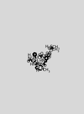 CN1CC[C@H]2CC[C@@H](C(=O)N[C@@H](CCC(N)=O)C(=O)NCc3ccccc3)N2C(=O)[C@@H](NC(=O)c2cc3cc(C(F)(F)P(=O)(OCOC(=O)C(C)(C)C)OCOC(=O)C(C)(C)C)ccc3[nH]2)C1